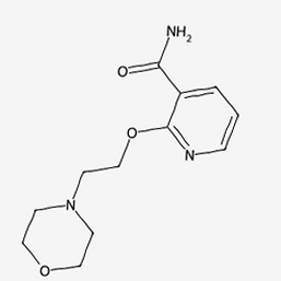 NC(=O)c1cccnc1OCCN1CCOCC1